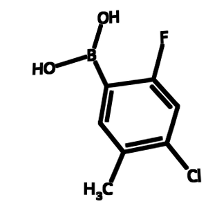 Cc1cc(B(O)O)c(F)cc1Cl